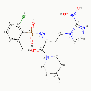 Cc1cccc(Br)c1S(=O)(=O)NC(CCn1ccnc1[N+](=O)[O-])C(=O)N1CCC(C)CC1